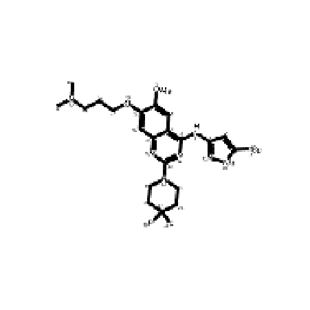 COc1cc2c(Nc3cc(C(C)(C)C)[nH]n3)nc(N3CCC(F)(F)CC3)nc2cc1OCCCN(C)C